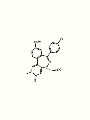 COc1cc2c(cn1)-c1cn(C)c(=O)cc1[C@@H](CC=O)N=C2c1ccc(Cl)cc1